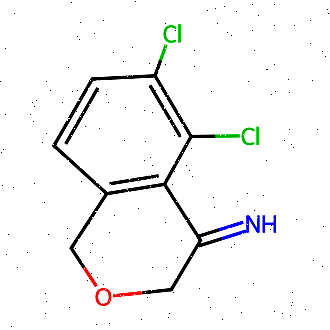 N=C1COCc2ccc(Cl)c(Cl)c21